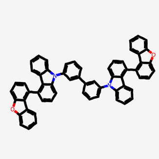 c1cc(-c2cccc(-n3c4ccccc4c4c(-c5cccc6oc7ccccc7c56)cccc43)c2)cc(-n2c3ccccc3c3c(-c4cccc5oc6ccccc6c45)cccc32)c1